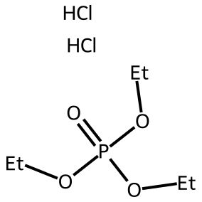 CCOP(=O)(OCC)OCC.Cl.Cl